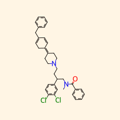 CN(CC(CCN1CCC(=C2C=CC(Cc3ccccc3)=CC2)CC1)c1ccc(Cl)c(Cl)c1)C(=O)c1ccccc1